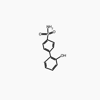 NS(=O)(=O)c1ccc(-c2[c]cccc2O)cc1